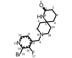 O=C1CCCC2(CCN(Cc3ccnc(Br)c3F)CC2)N1